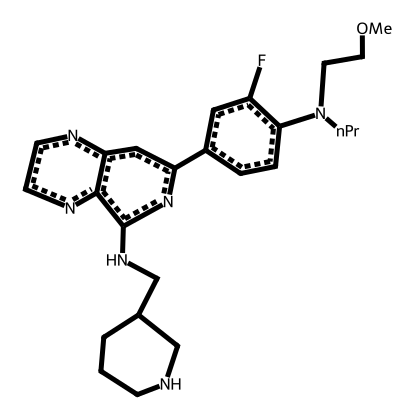 CCCN(CCOC)c1ccc(-c2cc3nccnc3c(NCC3CCCNC3)n2)cc1F